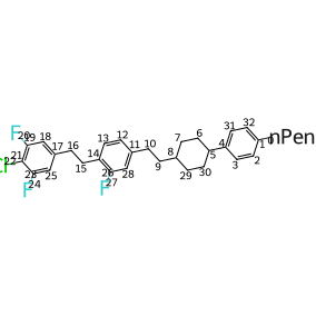 CCCCCc1ccc(C2CCC(CCc3ccc(CCc4cc(F)c(Cl)c(F)c4)c(F)c3)CC2)cc1